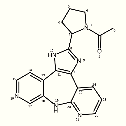 CC(=O)N1CCCC1c1nc2c([nH]1)-c1ccncc1Nc1ncccc1-2